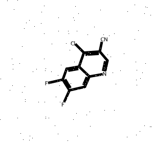 N#Cc1cnc2cc(F)c(F)cc2c1Cl